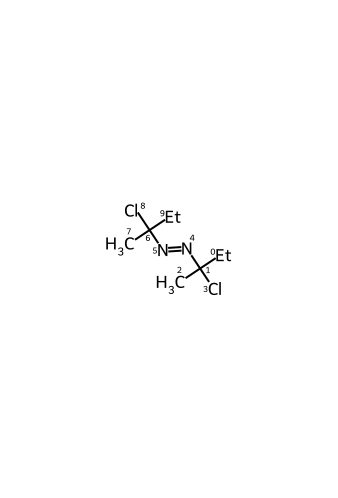 CCC(C)(Cl)N=NC(C)(Cl)CC